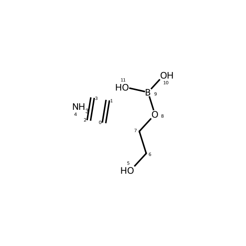 C=C.C=C.N.OCCOB(O)O